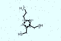 CCCn1nc(CS)c(CS)n1